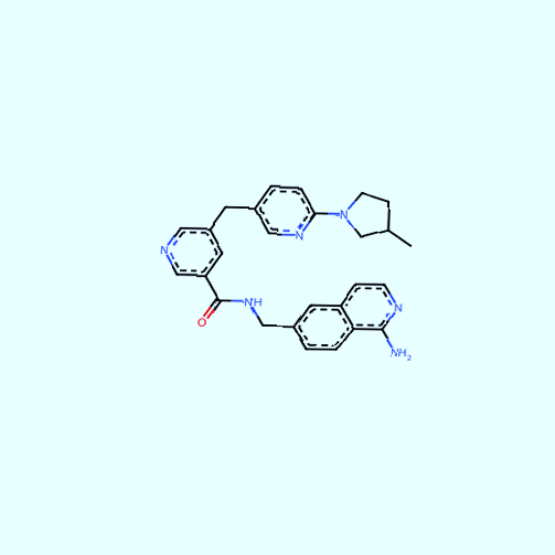 CC1CCN(c2ccc(Cc3cncc(C(=O)NCc4ccc5c(N)nccc5c4)c3)cn2)C1